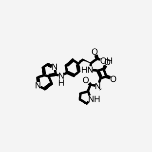 CN(C(=O)C1CCCN1)c1c(N[C@@H](Cc2ccc(Nc3nccc4cnccc34)cc2)C(=O)O)c(=O)c1=O